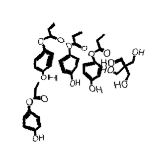 CCC(=O)Oc1ccc(O)cc1.CCC(=O)Oc1ccc(O)cc1.CCC(=O)Oc1ccc(O)cc1.CCC(=O)Oc1ccc(O)cc1.OCC(CO)(CO)CO